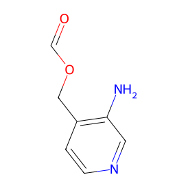 Nc1cnccc1COC=O